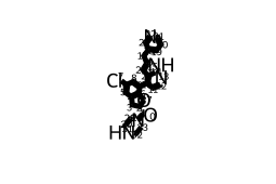 O=C([C@@H]1Cc2cc(Cl)cc(-c3ccnc4[nH]c(Cc5cccnc5)cc34)c2O1)N1CCNCC1